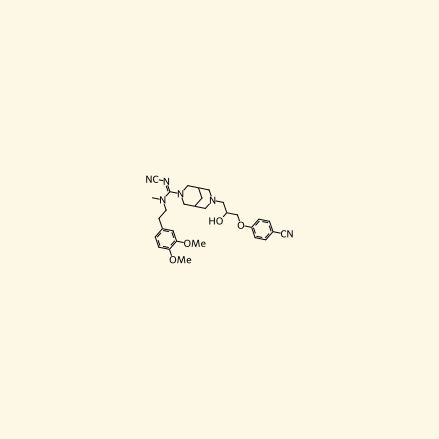 COc1ccc(CCN(C)C(=NC#N)N2CC3CC(CN(CC(O)COc4ccc(C#N)cc4)C3)C2)cc1OC